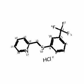 Cl.FC(F)(F)c1cccc(SCc2ccccn2)c1